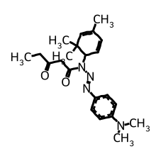 CCC(=O)CC(=O)N(N=Nc1ccc(N(C)C)cc1)C1C=CC(C)=CC1(C)C